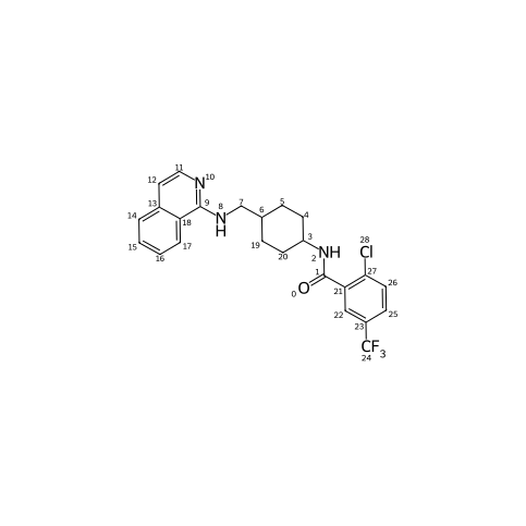 O=C(NC1CCC(CNc2nccc3ccccc23)CC1)c1cc(C(F)(F)F)ccc1Cl